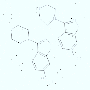 COc1ccc2c(N3CCNCC3)noc2c1.COc1ccc2c(N3CCNCC3)noc2c1.O